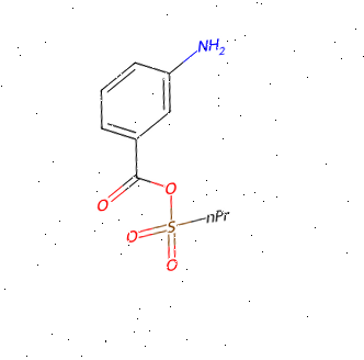 CCCS(=O)(=O)OC(=O)c1cccc(N)c1